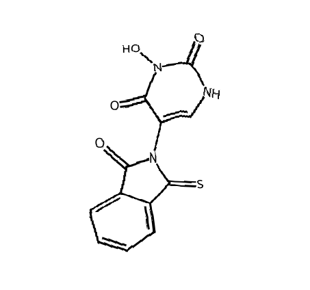 O=C1c2ccccc2C(=S)N1c1c[nH]c(=O)n(O)c1=O